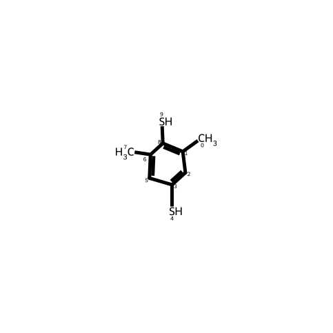 Cc1cc(S)cc(C)c1S